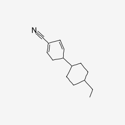 CCC1CCC(C2C=CC(C#N)=CC2)CC1